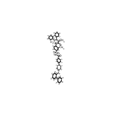 Cc1cc(S(=O)(=O)NC(=O)c2ccc(N3CCN(Cc4ccccc4-c4ccccc4)CC3)cc2)ccc1N(C)C(=O)N(C)C(Cc1ccccc1)c1ccccc1